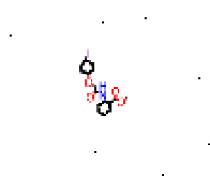 COC(=O)c1ccccc1NC(=O)COc1ccc(I)cc1